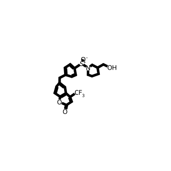 O=c1cc(C(F)(F)F)c2cc(Cc3ccc([S+]([O-])N4CCCC(CO)C4)cc3)ccc2o1